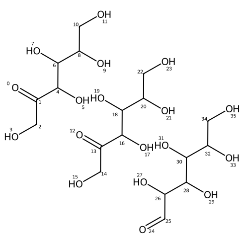 O=C(CO)C(O)C(O)C(O)CO.O=C(CO)C(O)C(O)C(O)CO.O=CC(O)C(O)C(O)C(O)CO